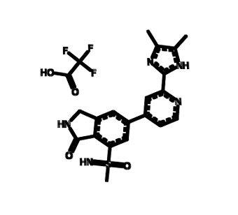 Cc1nc(-c2cc(-c3cc4c(c(S(C)(=N)=O)c3)C(=O)NC4)ccn2)[nH]c1C.O=C(O)C(F)(F)F